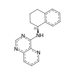 c1ccc2c(c1)CCC[C@@H]2Nc1ncnc2cccnc12